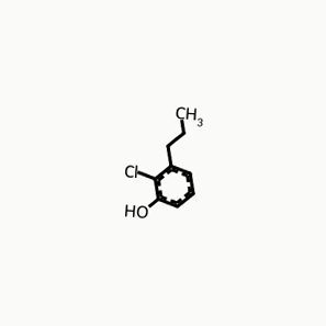 CCCc1cccc(O)c1Cl